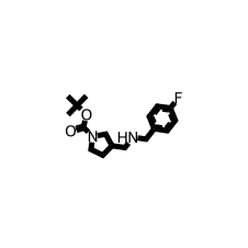 CC(C)(C)OC(=O)N1CCC(CNCc2ccc(F)cc2)C1